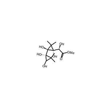 COC(=O)[C@H](O)[C@]1(O)C(C)(C)[C@@]1(O)[C@]1(O)C(O)C1(C)C